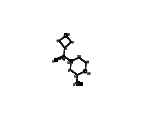 CC(C)(C)C1CN(C(=O)C2COC2)CCO1